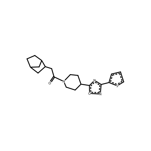 O=C(CC1CC2CCC1C2)N1CCC(c2nc(-c3cccs3)no2)CC1